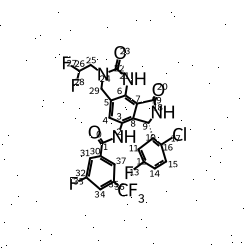 O=C(Nc1cc2c(c3c1[C@@H](c1cc(F)ccc1Cl)NC3=O)NC(=O)N(CC(F)F)C2)c1cc(F)cc(C(F)(F)F)c1